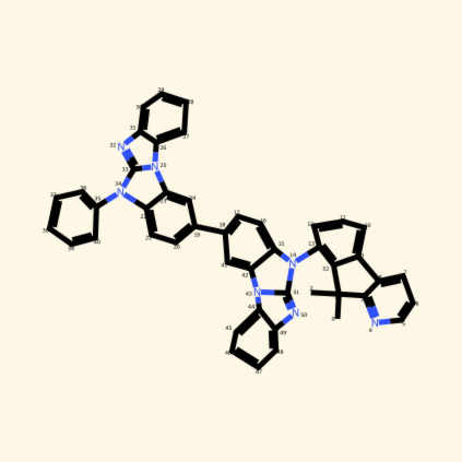 CC1(C)c2ncccc2-c2cccc(-n3c4ccc(-c5ccc6c(c5)n5c7ccccc7nc5n6-c5ccccc5)cc4n4c5ccccc5nc34)c21